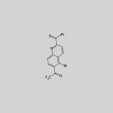 CC(C)C(=O)c1ccc2c(Br)c(C(=O)C(F)(F)F)ccc2n1